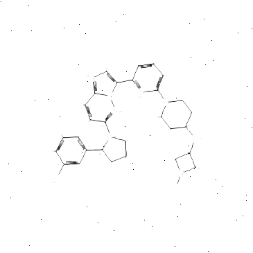 O=C(O)N1CC(OC2CCN(c3cccc(-c4cnc5ccc(N6CCCC6c6cccc(F)c6)nn45)n3)CC2)C1